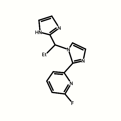 CCC(c1ncc[nH]1)n1ccnc1-c1cccc(F)n1